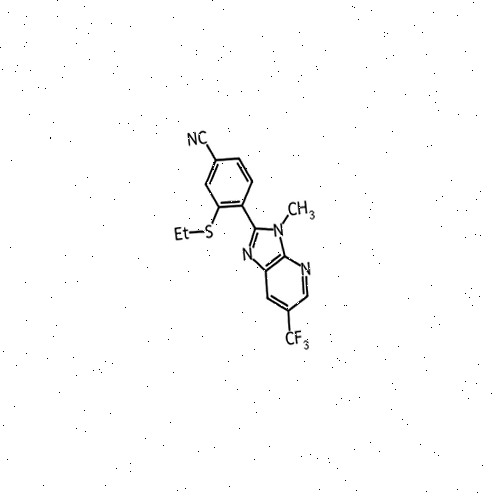 CCSc1cc(C#N)ccc1-c1nc2cc(C(F)(F)F)cnc2n1C